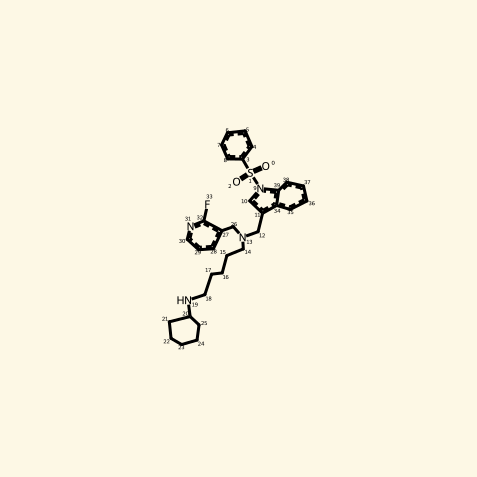 O=S(=O)(c1ccccc1)n1cc(CN(CCCCCNC2CCCCC2)Cc2cccnc2F)c2ccccc21